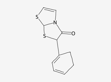 O=C1C(C2=CC=CCC2)SC2SC=CN12